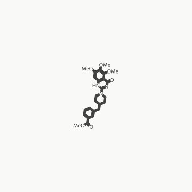 COC(=O)c1cccc(CC2CCN(c3nc(=O)c4c(OC)c(OC)c(OC)cc4[nH]3)CC2)c1